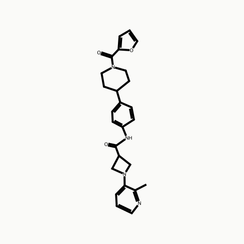 Cc1ncccc1N1CC(C(=O)Nc2ccc(C3CCN(C(=O)c4ccco4)CC3)cc2)C1